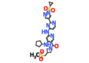 CS(=O)(=O)CC1CN(C(=O)c2cnc(Nc3ccnc(-c4cnn(S(=O)(=O)C5CC5)c4)n3)cc2NC2CCCC2)C1